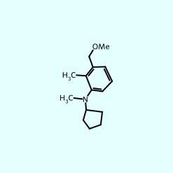 COCc1cccc(N(C)C2CCCC2)c1C